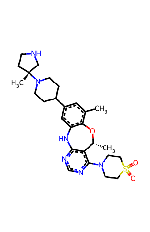 Cc1cc(C2CCN([C@]3(C)CCNC3)CC2)cc2c1O[C@H](C)c1c(ncnc1N1CCS(=O)(=O)CC1)N2